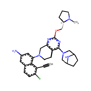 C#Cc1c(F)ccc2cc(N)cc(N3CCc4c(nc(OC[C@@H]5CCCN5C)nc4N4CC5CCC(C4)N5)C3)c12